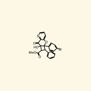 COC(=O)C1C(c2ccccc2)C2(c3ccc(Br)cc3)Oc3cccnc3C(=O)C12O